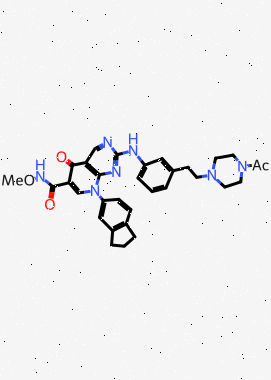 CONC(=O)c1cn(-c2ccc3c(c2)CCC3)c2nc(Nc3cccc(CCN4CCN(C(C)=O)CC4)c3)ncc2c1=O